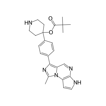 Cc1nc(-c2ccc(C3(OC(=O)C(C)(C)C)CCNCC3)cc2)c2cnc3[nH]ccc3n12